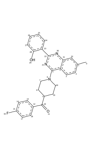 Cc1ccc2c(N3CCC(C(=O)c4ccc(F)cc4)CC3)nc(-c3ccccc3O)nc2c1